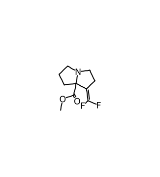 COC(=O)C12CCCN1CCC2=C(F)F